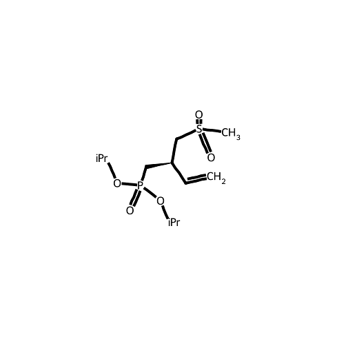 C=C[C@@H](CP(=O)(OC(C)C)OC(C)C)CS(C)(=O)=O